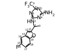 CC(Nc1nc(N)nc(C(F)(F)F)n1)c1cc2cc(F)ccc2o1